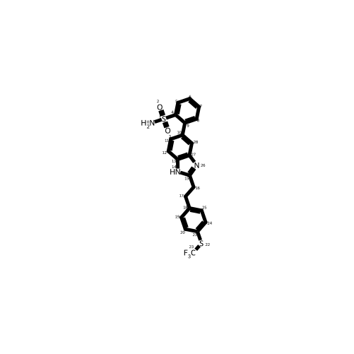 NS(=O)(=O)c1ccccc1-c1ccc2[nH]c(CCc3ccc(SC(F)(F)F)cc3)nc2c1